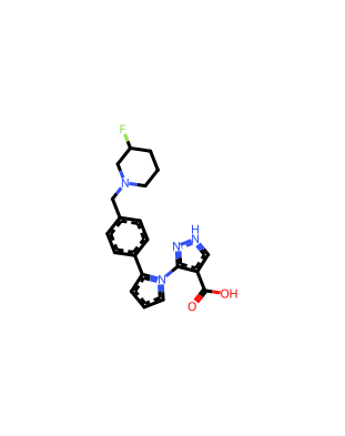 O=C(O)c1c[nH]nc1-n1cccc1-c1ccc(CN2CCCC(F)C2)cc1